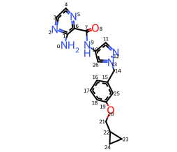 Nc1nccnc1C(=O)Nc1cnn(Cc2cccc(OCC3CC3)c2)c1